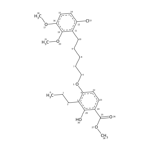 CCCc1c(OCCCCCc2c(Cl)ccc(OC)c2OC)ccc(C(=O)OC)c1O